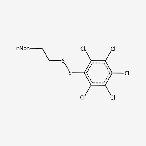 CCCCCCCCCCCSSc1c(Cl)c(Cl)c(Cl)c(Cl)c1Cl